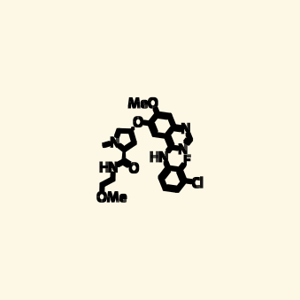 COCCNC(=O)[C@@H]1C[C@@H](Oc2cc3c(Nc4cccc(Cl)c4F)ncnc3cc2OC)CN1C